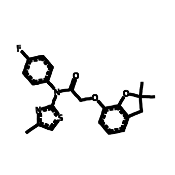 Cc1csc(N(C(=O)COc2cccc3c2OC(C)(C)C3)c2ccc(F)cc2)n1